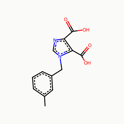 Cc1cccc(Cn2cnc(C(=O)O)c2C(=O)O)c1